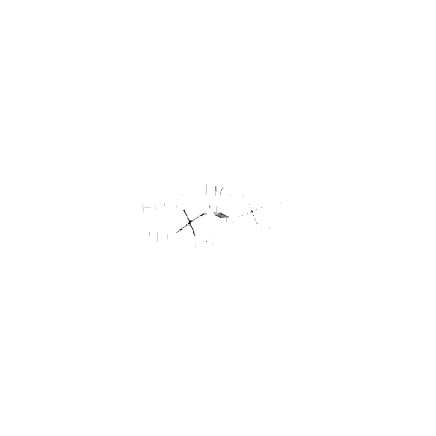 CC(C)C(C)(/N=N/C(C)(C)C(=O)O)C(=O)O